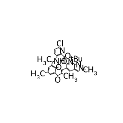 Cc1cc([C@@H](C)Nc2ccc(Cl)nc2C(=O)OC(C)(C)C)c2oc(-c3cnc4nn(C)cc4c3)c(C)c(=O)c2c1